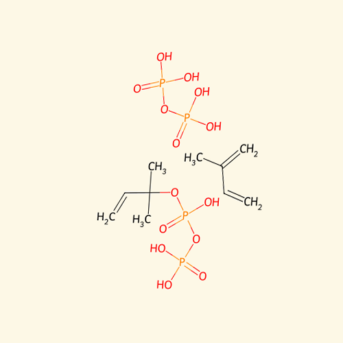 C=CC(=C)C.C=CC(C)(C)OP(=O)(O)OP(=O)(O)O.O=P(O)(O)OP(=O)(O)O